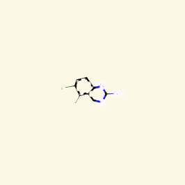 Nc1ncc2c(Cl)c(Br)ccc2n1